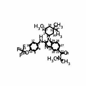 C[C@H]1C[C@@H](n2c(Nc3ccc(OC(F)(F)F)cc3)nc3cc(C(=O)N(C)C)ccc32)CC(C)(C)C1